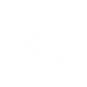 CCOCC(=O)NNc1cnc(-c2cnc(OC(C)C(F)(F)F)c(F)c2)cn1